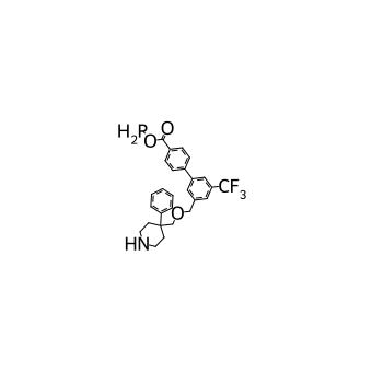 O=C(OP)c1ccc(-c2cc(COCC3(c4ccccc4)CCNCC3)cc(C(F)(F)F)c2)cc1